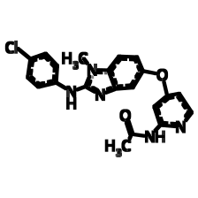 CC(=O)Nc1cc(Oc2ccc3c(c2)nc(Nc2ccc(Cl)cc2)n3C)ccn1